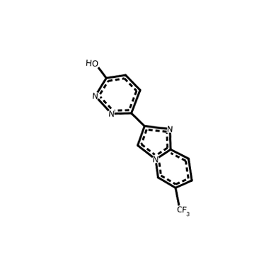 Oc1ccc(-c2cn3cc(C(F)(F)F)ccc3n2)nn1